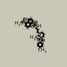 Cc1ccc(S(=O)(=O)N2CCCN(CCCNS(=O)(=O)c3cccc4c(N(C)C)cccc34)C2C)cc1